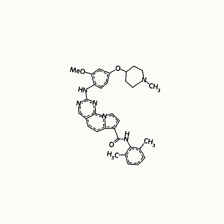 COc1cc(OC2CCN(C)CC2)ccc1Nc1ncc2ccc3c(C(=O)Nc4c(C)cccc4C)ccn3c2n1